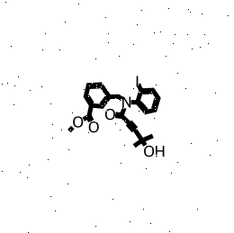 COC(=O)c1cccc(CN(C(=O)C#CC(C)(C)O)c2ccccc2I)c1